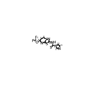 FC(F)Oc1ccc2nc(NC(=S)n3ccnc3)sc2n1